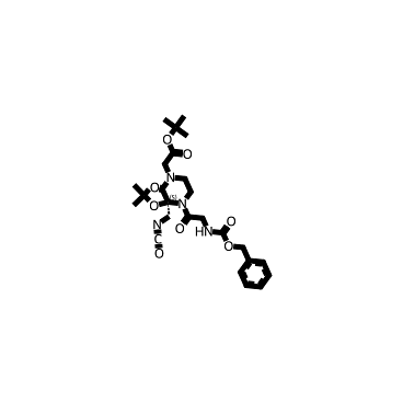 CC(C)(C)OC(=O)CN1CCN(C(=O)CNC(=O)OCc2ccccc2)[C@@](CN=C=O)(OC(C)(C)C)C1=O